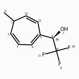 CC1C=CC=C([C@@H](O)C(F)(F)F)C=C1